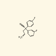 C=CCC(C#N)(c1ccc(F)cc1)c1cccc(F)c1